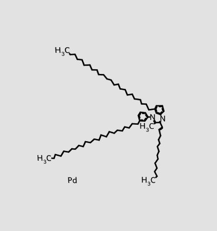 CCCCCCCCCCCCC=CC(=Nc1cccc(CCCCCCCCCCCCCCCCCCCCCCCC)c1)C(C)=Nc1cccc(CCCCCCCCCCCCCCCCCCCCCCCC)c1.[Pd]